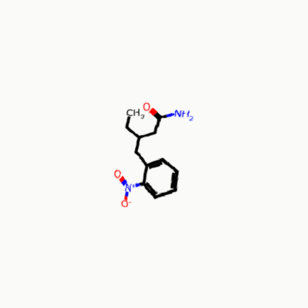 CCC(CC(N)=O)Cc1ccccc1[N+](=O)[O-]